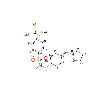 CN(C[C@H]1CC[C@H](CN2CCCC2)CC1)S(=O)(=O)c1ccc(C(F)(F)F)cc1